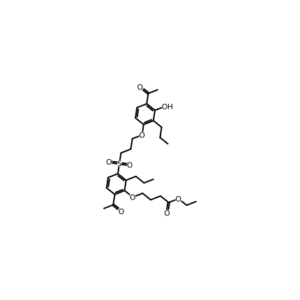 CCCc1c(OCCCS(=O)(=O)c2ccc(C(C)=O)c(OCCCC(=O)OCC)c2CCC)ccc(C(C)=O)c1O